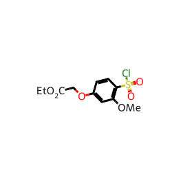 CCOC(=O)COc1ccc(S(=O)(=O)Cl)c(OC)c1